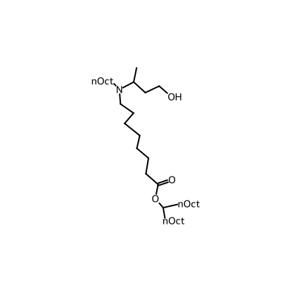 CCCCCCCCC(CCCCCCCC)OC(=O)CCCCCCCN(CCCCCCCC)C(C)CCO